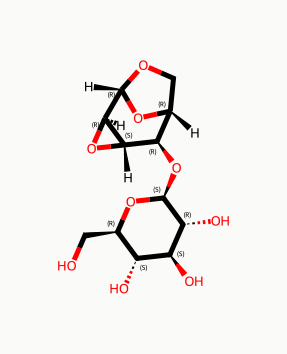 OC[C@H]1O[C@@H](O[C@H]2[C@@H]3O[C@H]3[C@@H]3OC[C@H]2O3)[C@H](O)[C@@H](O)[C@@H]1O